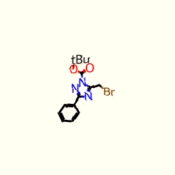 CC(C)(C)OC(=O)n1nc(-c2ccccc2)nc1CBr